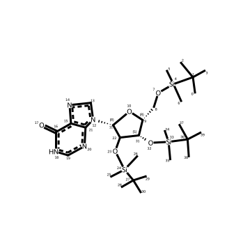 CC(C)(C)[Si](C)(C)OC[C@H]1O[C@@H](n2cnc3c(=O)[nH]cnc32)C(O[Si](C)(C)C(C)(C)C)[C@H]1O[Si](C)(C)C(C)(C)C